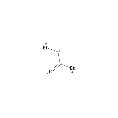 [CH2]CCC(=O)CC